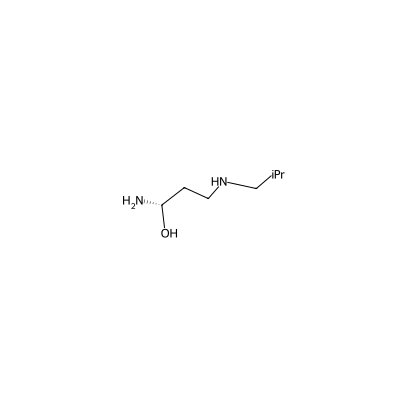 CC(C)CNCC[C@@H](N)O